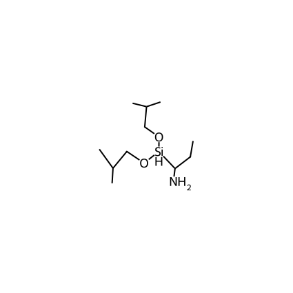 CCC(N)[SiH](OCC(C)C)OCC(C)C